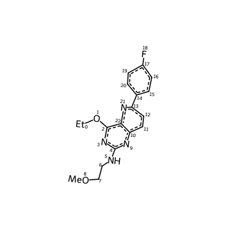 CCOc1nc(NCCOC)nc2ccc(-c3ccc(F)cc3)nc12